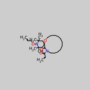 C=CCON1C(C)(C)CC2(CC1(C)C)OCCCCCCCCCCCN(C(=O)C=C)C2=O